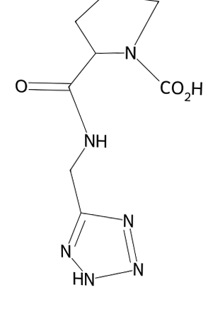 O=C(NCc1nn[nH]n1)C1CCCN1C(=O)O